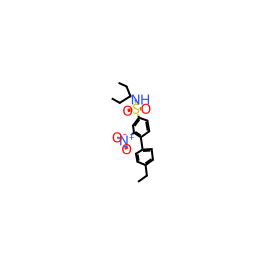 CCc1ccc(-c2ccc(S(=O)(=O)NC(CC)CC)cc2[N+](=O)[O-])cc1